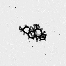 C[C@@]12CCC[C@H]1[C@@H]1CCC3CC(=O)CC[C@]3(C)[C@@H]1C(N)C2